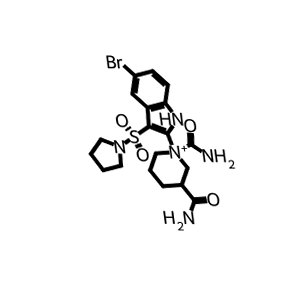 NC(=O)C1CCC[N+](C(N)=O)(c2[nH]c3ccc(Br)cc3c2S(=O)(=O)N2CCCC2)C1